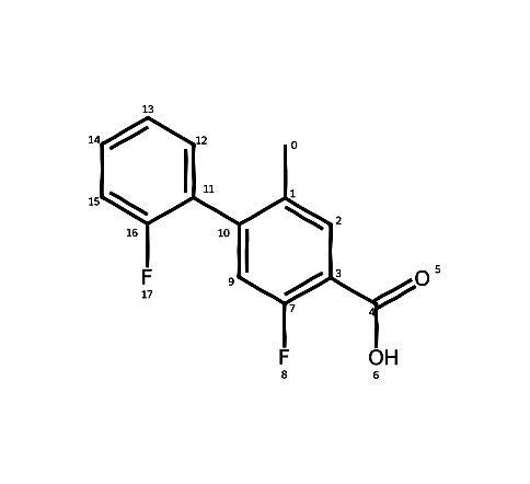 Cc1cc(C(=O)O)c(F)cc1-c1ccccc1F